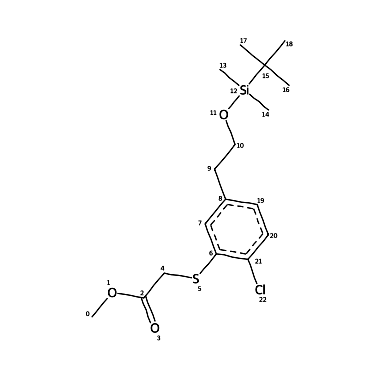 COC(=O)CSc1cc(CCO[Si](C)(C)C(C)(C)C)ccc1Cl